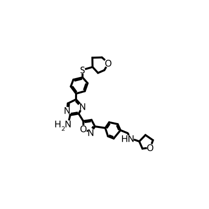 Nc1ncc(-c2ccc(SC3CCOCC3)cc2)nc1-c1cc(-c2ccc(CNC3CCOC3)cc2)no1